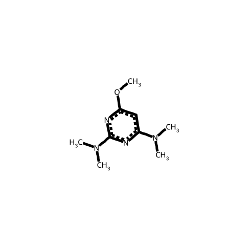 COc1cc(N(C)C)nc(N(C)C)n1